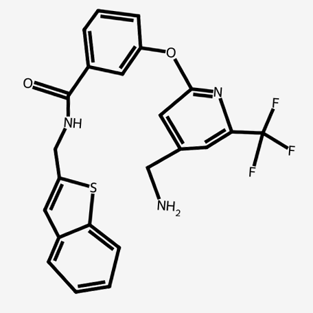 NCc1cc(Oc2cccc(C(=O)NCc3cc4ccccc4s3)c2)nc(C(F)(F)F)c1